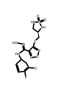 O=S1(=O)NC[C@H](CSc2nonc2/C(=N/O)NC2C=CC(F)=C(Cl)C2)N1